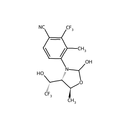 Cc1c(N2C(O)O[C@@H](C)[C@@H]2[C@@H](O)C(F)(F)F)ccc(C#N)c1C(F)(F)F